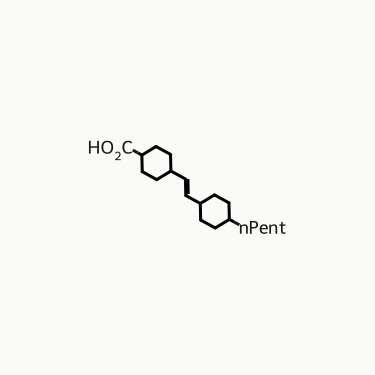 CCCCCC1CCC(C=CC2CCC(C(=O)O)CC2)CC1